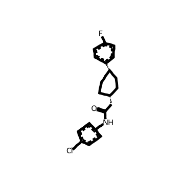 O=C(C[C@H]1CC[C@@H](c2ccc(F)cc2)CC1)Nc1ccc(Cl)cc1